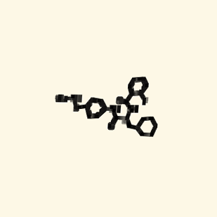 CC(C)(C)NSc1ccc(NC(=O)[C@H](CC2CCCCC2)NC(=O)c2ccccc2F)cc1